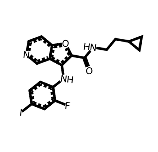 O=C(NCCC1CC1)c1oc2ccncc2c1Nc1ccc(I)cc1F